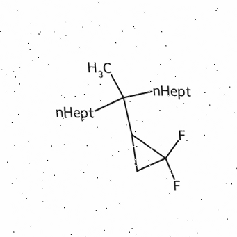 CCCCCCCC(C)(CCCCCCC)C1CC1(F)F